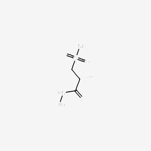 C[C@@H](CS(N)(=O)=O)C(=O)NC(C)(C)C